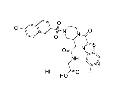 Cc1cc2nc(C(=O)N3CCN(S(=O)(=O)c4ccc5cc(Cl)ccc5c4)CC3CC(=O)NCC(=O)O)sc2cn1.I